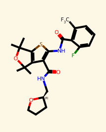 CC1(C)OC(C)(C)c2c1sc(NC(=O)c1c(F)cccc1C(F)(F)F)c2C(=O)NC[C@H]1CCCO1